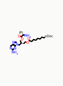 CCCCCCCCCCCCCCCCCC(=O)OCC[C@@H](COC(=O)[C@@H](N)C(C)C)Cn1cnc2cnc(N)nc21